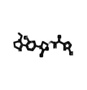 CCN1CCN=C1c1ccc(N2C[C@H](CNC(=O)c3ccc(Cl)s3)OC2=O)cc1Cl